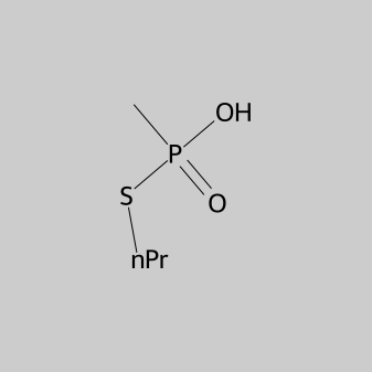 CCCSP(C)(=O)O